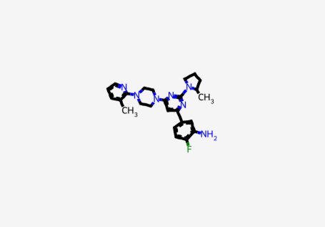 Cc1cccnc1N1CCN(c2cc(-c3ccc(F)c(N)c3)nc(N3CCCC3C)n2)CC1